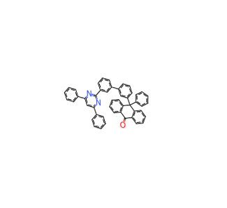 O=C1c2ccccc2C(c2ccccc2)(c2cccc(-c3cccc(-c4nc(-c5ccccc5)cc(-c5ccccc5)n4)c3)c2)c2ccccc21